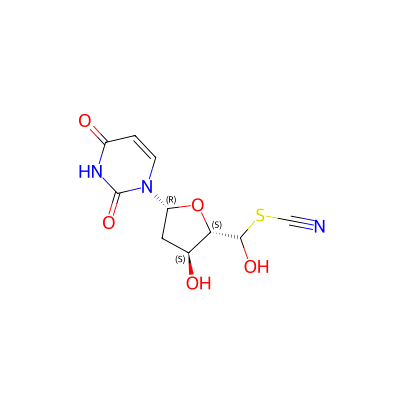 N#CSC(O)[C@H]1O[C@@H](n2ccc(=O)[nH]c2=O)C[C@@H]1O